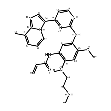 C=CC(=O)Nc1cc(Nc2nccc(-c3cnc4c(C)cccn34)n2)c(OC)cc1N(C)CCNC